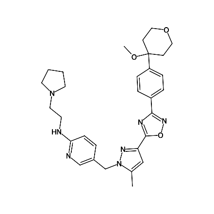 COC1(c2ccc(-c3noc(-c4cc(C)n(Cc5ccc(NCCN6CCCC6)nc5)n4)n3)cc2)CCOCC1